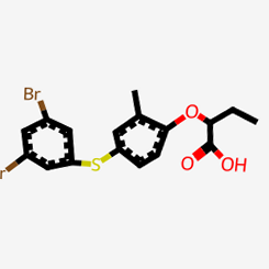 CCC(Oc1ccc(Sc2cc(Br)cc(Br)c2)cc1C)C(=O)O